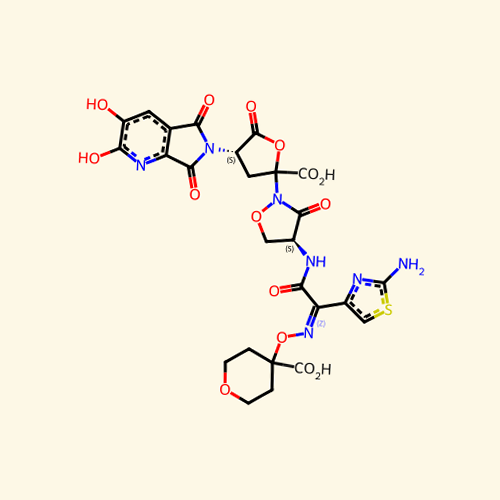 Nc1nc(/C(=N/OC2(C(=O)O)CCOCC2)C(=O)N[C@H]2CON(C3(C(=O)O)C[C@H](N4C(=O)c5cc(O)c(O)nc5C4=O)C(=O)O3)C2=O)cs1